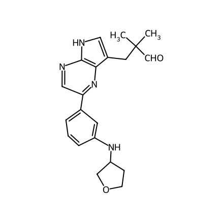 CC(C)(C=O)Cc1c[nH]c2ncc(-c3cccc(NC4CCOC4)c3)nc12